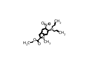 C=CCN(CC=C)c1cc2c(cc1[N+](=O)[O-])cc(C(=O)OCC)n2C